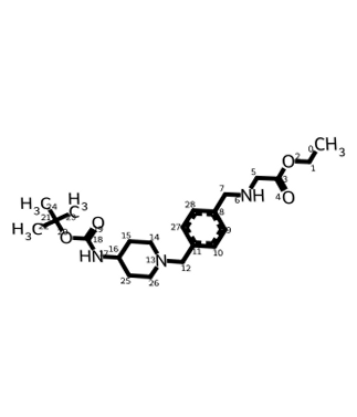 CCOC(=O)CNCc1ccc(CN2CCC(NC(=O)OC(C)(C)C)CC2)cc1